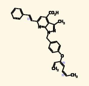 C=C/C(=C\C=C/C)Oc1ccc(Cn2nc(C)c3c(C(=O)O)cc(/C=C/c4ccccc4)nc32)cc1